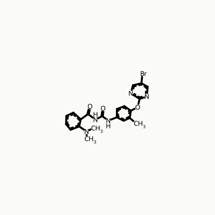 Cc1cc(NC(=O)NC(=O)c2ccccc2N(C)C)ccc1Oc1ncc(Br)cn1